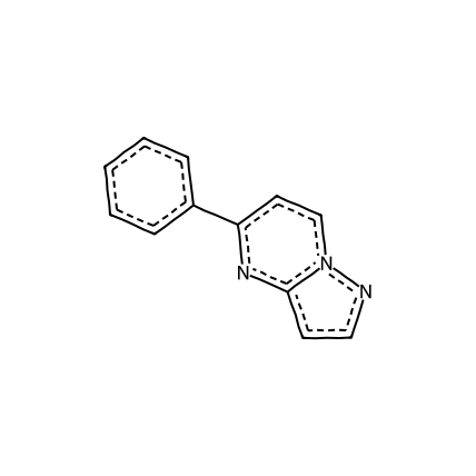 c1ccc(-c2ccn3nccc3n2)cc1